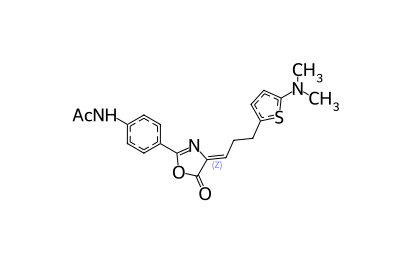 CC(=O)Nc1ccc(C2=N/C(=C\CCc3ccc(N(C)C)s3)C(=O)O2)cc1